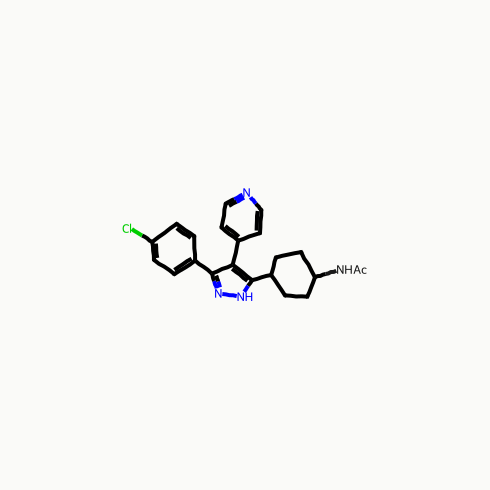 CC(=O)NC1CCC(c2[nH]nc(-c3ccc(Cl)cc3)c2-c2ccncc2)CC1